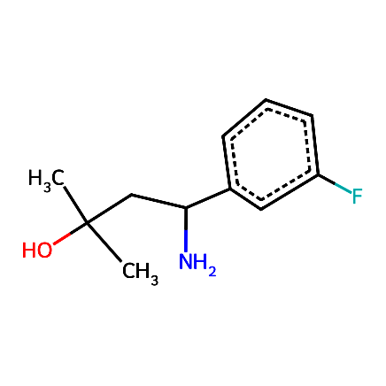 CC(C)(O)CC(N)c1cccc(F)c1